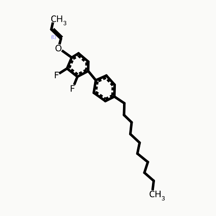 C/C=C/Oc1ccc(-c2ccc(CCCCCCCCCC)cc2)c(F)c1F